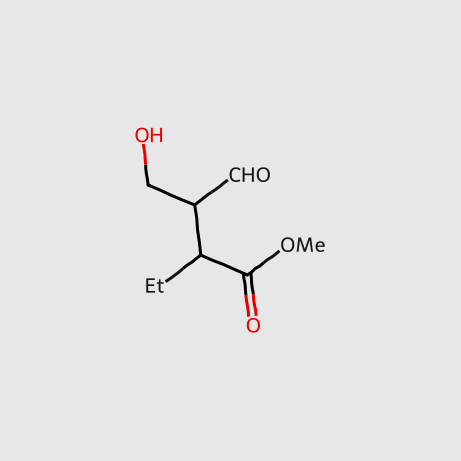 CCC(C(=O)OC)C(C=O)CO